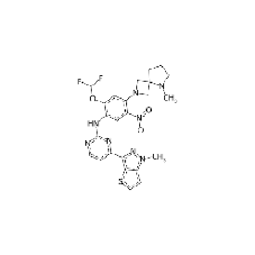 CN1CCCC12CN(c1cc(OC(F)F)c(Nc3nccc(-c4nn(C)c5ccsc45)n3)cc1[N+](=O)[O-])C2